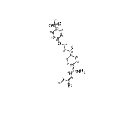 C=C/C(=C\N=C(/N)N1CCC([C@H](C)CCOc2ccc(S(C)(=O)=O)cc2)CC1)CC